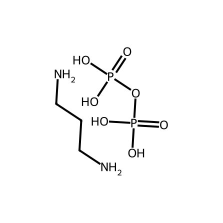 NCCCN.O=P(O)(O)OP(=O)(O)O